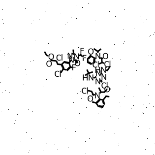 CC1COc2ccccc2N1C(=O)C(Cl)Cl.CCNc1nc(Cl)nc(NC(C)(C)C)n1.CCOC(=O)C(Cl)Cc1cc(-n2nc(C)n(C(F)F)c2=O)c(F)cc1Cl.CCc1cccc(C)c1N(C(=O)CCl)C(C)COC